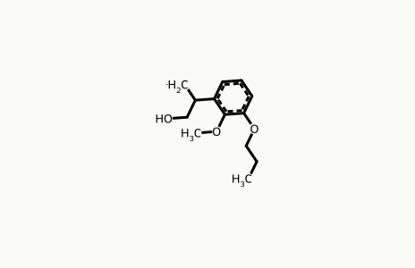 [CH2]C(CO)c1cccc(OCCC)c1OC